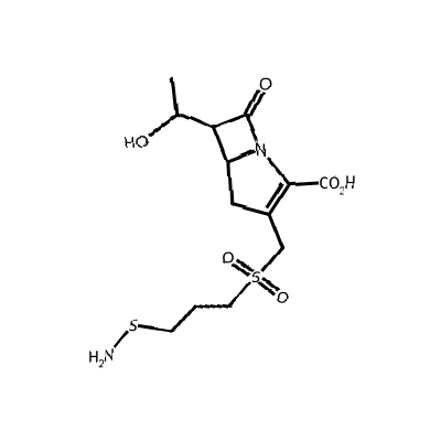 CC(O)C1C(=O)N2C(C(=O)O)=C(CS(=O)(=O)CCCSN)CC12